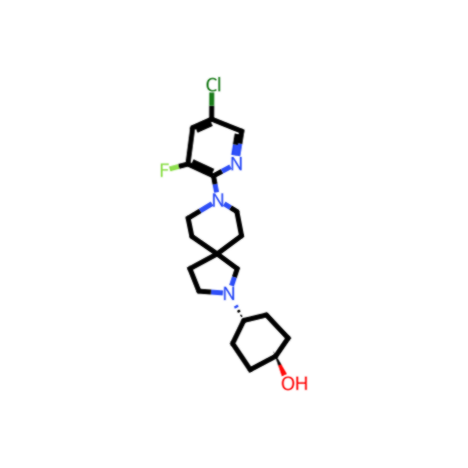 O[C@H]1CC[C@H](N2CCC3(CCN(c4ncc(Cl)cc4F)CC3)C2)CC1